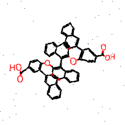 O=C(O)c1ccc(Oc2ccc3ccccc3c2-c2c(Oc3ccc(C(=O)O)cc3-c3ccc4ccccc4c3)ccc3ccccc23)c(-c2ccc3ccccc3c2)c1